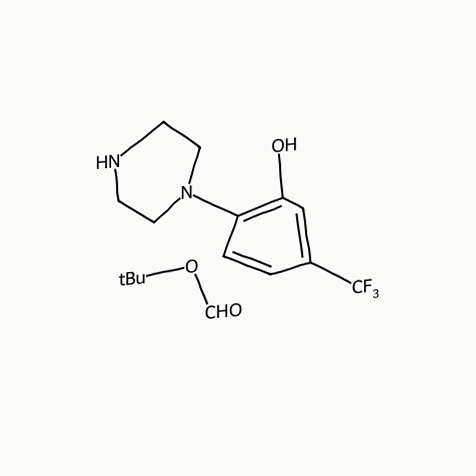 CC(C)(C)OC=O.Oc1cc(C(F)(F)F)ccc1N1CCNCC1